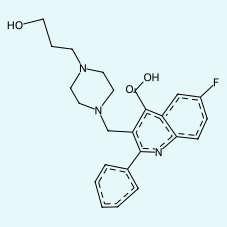 O=C(O)c1c(CN2CCN(CCCO)CC2)c(-c2ccccc2)nc2ccc(F)cc12